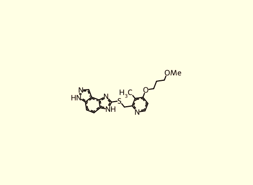 COCCCOc1ccnc(CSc2nc3c(ccc4[nH]ncc43)[nH]2)c1C